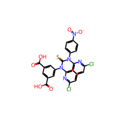 O=C(O)c1cc(C(=O)O)cc(N(C(=S)N(c2ccc([N+](=O)[O-])cc2)c2cccc(Cl)n2)c2cccc(Cl)n2)c1